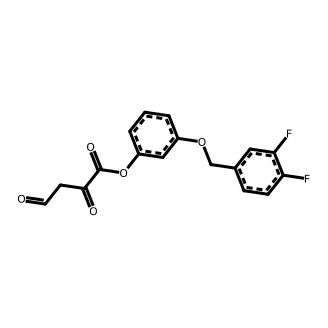 O=CCC(=O)C(=O)Oc1cccc(OCc2ccc(F)c(F)c2)c1